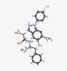 Cc1cc2c(cnn2-c2ccc(F)cc2)cc1O[C@H](c1ccccc1)C(C)NC(=O)CO